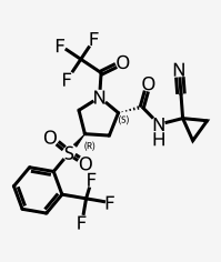 N#CC1(NC(=O)[C@@H]2C[C@@H](S(=O)(=O)c3ccccc3C(F)(F)F)CN2C(=O)C(F)(F)F)CC1